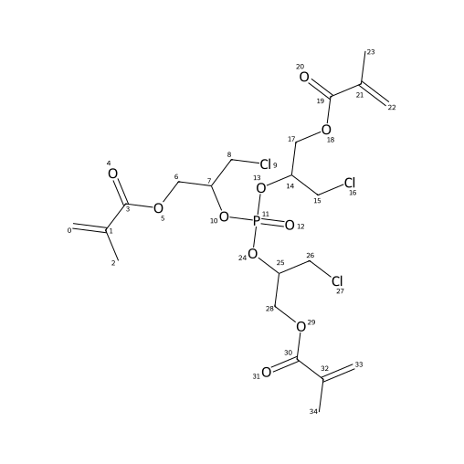 C=C(C)C(=O)OCC(CCl)OP(=O)(OC(CCl)COC(=O)C(=C)C)OC(CCl)COC(=O)C(=C)C